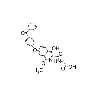 CCOc1nc(C(=O)NCC(=O)O)c(O)c2ccc(Oc3ccc(C(=O)c4ccccc4)cc3)cc12